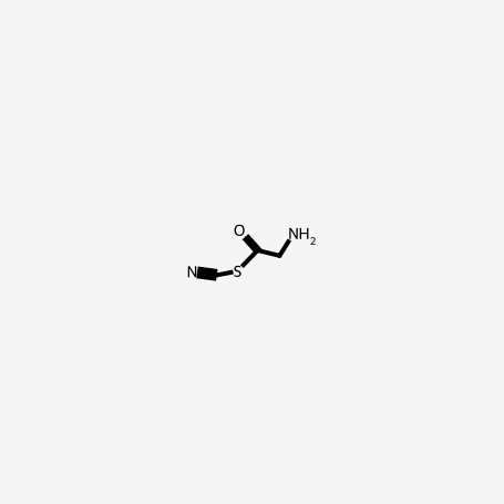 N#CSC(=O)CN